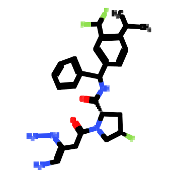 CC(C)c1ccc(C(NC(=O)[C@@H]2C[C@@H](F)CN2C(=O)C/C(=C/N)NN)c2ccccc2)cc1C(F)F